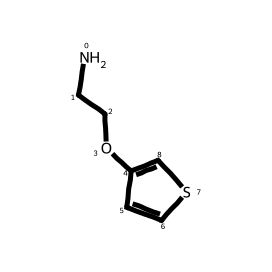 NCCOc1ccsc1